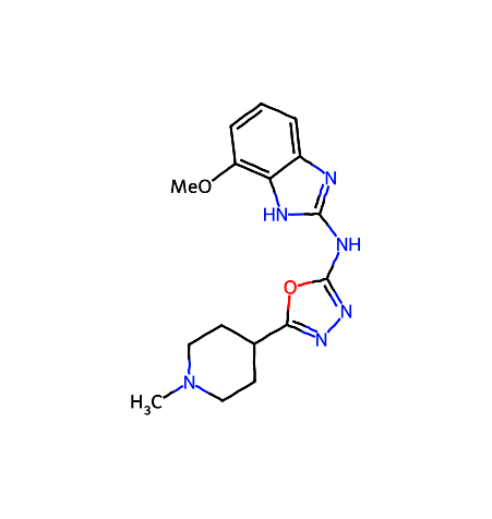 COc1cccc2nc(Nc3nnc(C4CCN(C)CC4)o3)[nH]c12